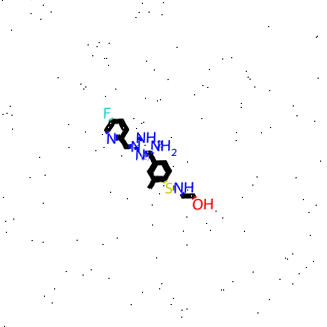 Cc1cc(/C(N)=N/N(N)Cc2ccc(F)cn2)ccc1SNCCO